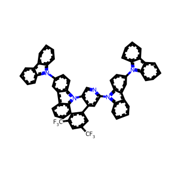 FC(F)(F)c1cc(-c2cc(-n3c4ccccc4c4cc(-n5c6ccccc6c6ccccc65)ccc43)ncc2-n2c3ccccc3c3cc(-n4c5ccccc5c5ccccc54)ccc32)cc(C(F)(F)F)c1